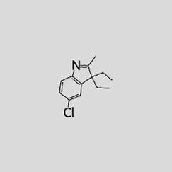 CCC1(CC)C(C)=Nc2ccc(Cl)cc21